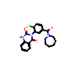 O=C(c1ccc(Cl)c(-n2c(=O)[nH]c3ccccc3c2=O)c1)N1CCCCCC1